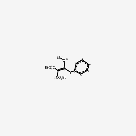 CCOC(=O)C(C(=O)OCC)=C(Cc1ccccc1)OCC